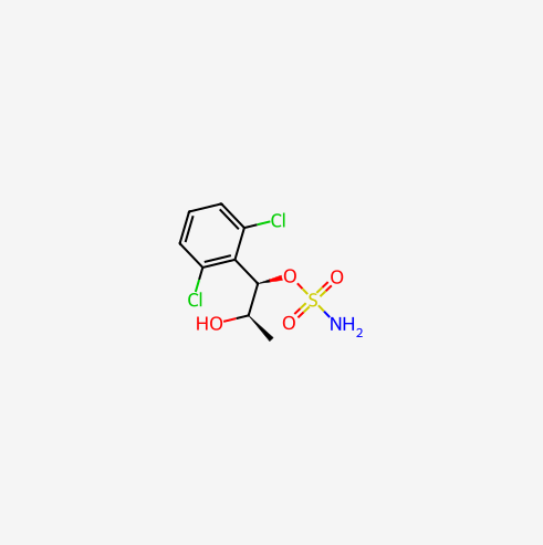 C[C@@H](O)[C@H](OS(N)(=O)=O)c1c(Cl)cccc1Cl